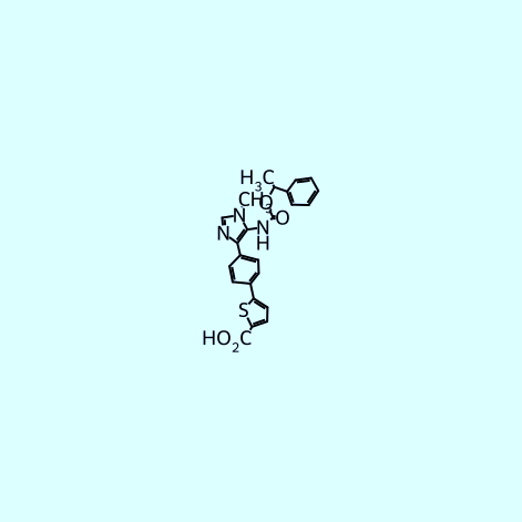 CC(OC(=O)Nc1c(-c2ccc(-c3ccc(C(=O)O)s3)cc2)ncn1C)c1ccccc1